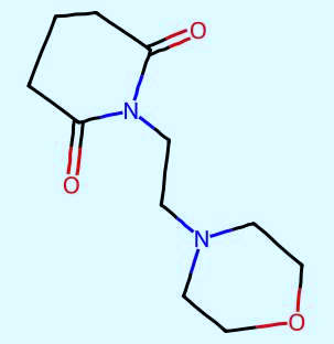 O=C1CCCC(=O)N1CCN1CCOCC1